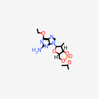 CCOc1nc(N)nc2c1ncn2[C@@H]1O[C@@H]2CO[P@@](=O)(OC(C)C)O[C@H]2C1C